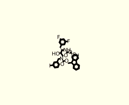 CC(C)(C)OC(=O)N[C@@H](Cc1cc(F)cc(F)c1)[C@H](O)CN(Cc1cccc(I)c1)C(=O)OCC1c2ccccc2-c2ccccc21